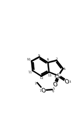 COC.O=S1(=O)C=Cc2ccccc21